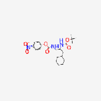 CC(C)(C)OC(=O)NC(CNC(=O)Oc1ccc([N+](=O)[O-])cc1)CC1CCCCC1